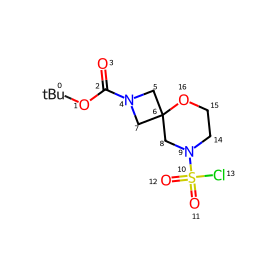 CC(C)(C)OC(=O)N1CC2(C1)CN(S(=O)(=O)Cl)CCO2